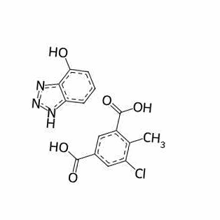 Cc1c(Cl)cc(C(=O)O)cc1C(=O)O.Oc1cccc2[nH]nnc12